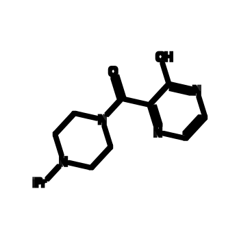 CC(C)N1CCN(C(=O)c2nccnc2O)CC1